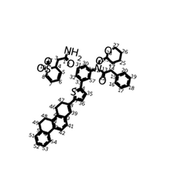 NC(=O)CC1C=CC=CS1(=O)=O.O=C(Cc1ccccc1)N(OC1CCCCO1)c1cccc(-c2ccc(C3=Cc4ccc5c(c4CC3)CCc3ccccc3-5)s2)c1